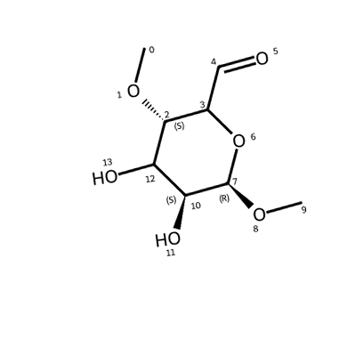 CO[C@@H]1C(C=O)O[C@@H](OC)[C@@H](O)C1O